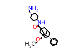 CCOC[C@]12CC3CC(C(=O)N[C@H]4CC[C@H](CN)CC4)(C1)C[C@@](c1ccccc1)(C3)C2